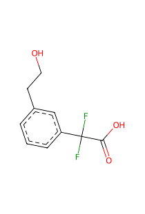 O=C(O)C(F)(F)c1cccc(CCO)c1